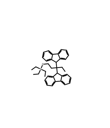 CCC(CCO[Si](CC)(CC)CC)(C1c2ccccc2-c2ccccc21)C1c2ccccc2-c2ccccc21